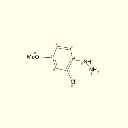 COc1ccc(NN)c(Cl)c1